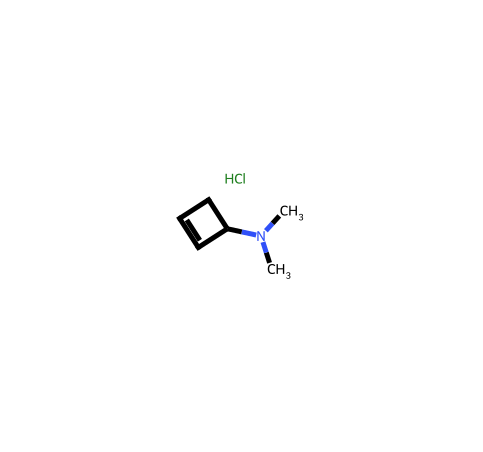 CN(C)C1C=CC1.Cl